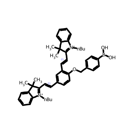 CCCC[N+]1=C(/C=C/c2ccc(OCc3ccc(B(O)O)cc3)c(/C=C/C3=[N+](CCCC)c4ccccc4C3(C)C)c2)C(C)(C)c2ccccc21